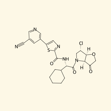 N#Cc1cncc(-c2cnc(C(=O)N[C@H](C(=O)N3C[C@H](Cl)[C@H]4OCC(=O)[C@H]43)C3CCCCC3)s2)c1